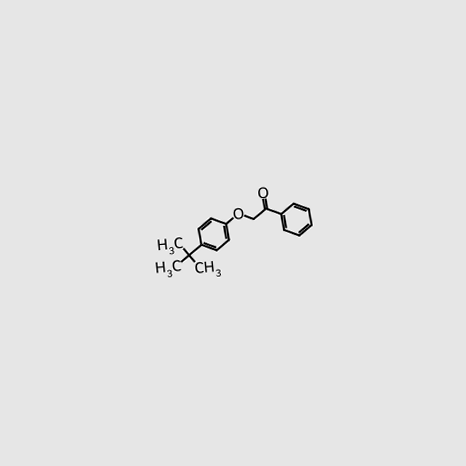 CC(C)(C)c1ccc(OCC(=O)c2ccccc2)cc1